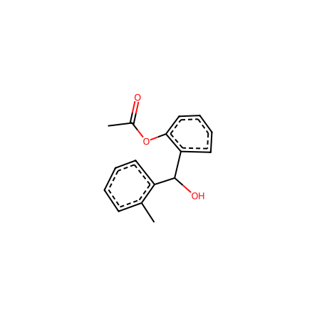 CC(=O)Oc1ccccc1C(O)c1ccccc1C